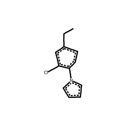 CCc1ccc(-n2cccc2)c(Cl)c1